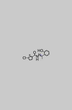 C/C(=N\NC(=O)c1ccc(Cl)s1)c1ccccc1O